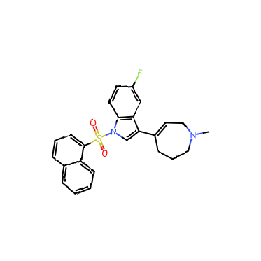 CN1CC=C(c2cn(S(=O)(=O)c3cccc4ccccc34)c3ccc(F)cc23)CCC1